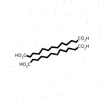 O=C(O)CCCCCCCCCCC(=O)O.O=C(O)CCCCCCCCCCCC(=O)O